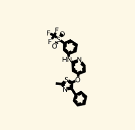 Cc1nc(-c2ccccc2)c(Oc2ccnc(Nc3cccc(S(=O)(=O)C(F)(F)F)c3)c2)s1